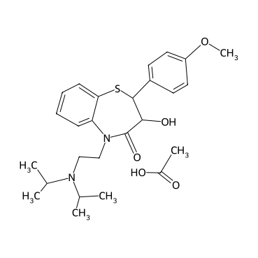 CC(=O)O.COc1ccc(C2Sc3ccccc3N(CCN(C(C)C)C(C)C)C(=O)C2O)cc1